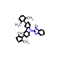 CCn1c(-n2c3ccc(-c4c(C)cccc4C)cc3c3cc(-c4c(C)cccc4C)ccc32)nc2ccccc21